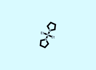 CC[Si](CC)(N1CCCC1)N1CCCC1